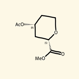 COC(=O)[C@@H]1C[C@H](OC(C)=O)CCO1